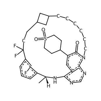 C[C@H]1Nc2ncnc3c2cc(C2CCS(=O)(=O)CC2)c(=O)n3CCCCCCC2CC(CCC(F)(F)c3cccc1c3F)C2